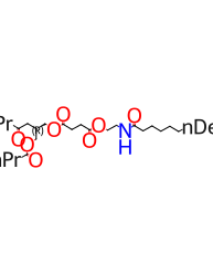 CCCCCCCCCCCCCCCC(=O)NCCOC(=O)CCC(=O)OC[C@@H](COC(=O)CCC)CC(=O)CCC